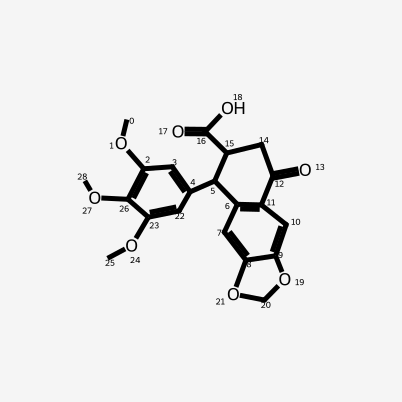 COc1cc(C2c3cc4c(cc3C(=O)CC2C(=O)O)OCO4)cc(OC)c1OC